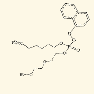 CCCCCCCCCCCCCCCOP(=O)(OCCOCCOCC)OOc1cccc2ccccc12